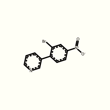 O=[N+]([O-])c1ccc(-c2cccnc2)c(Br)c1